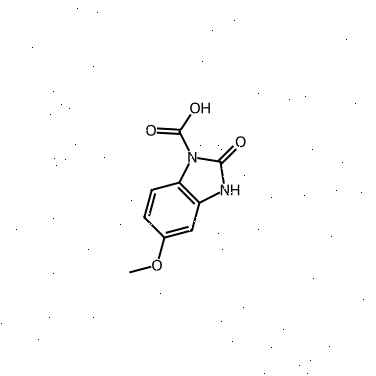 COc1ccc2c(c1)[nH]c(=O)n2C(=O)O